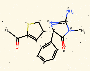 CCC(=O)C1=CC([C@]2(c3ccccc3)N=C(N)N(C)C2=O)CS1